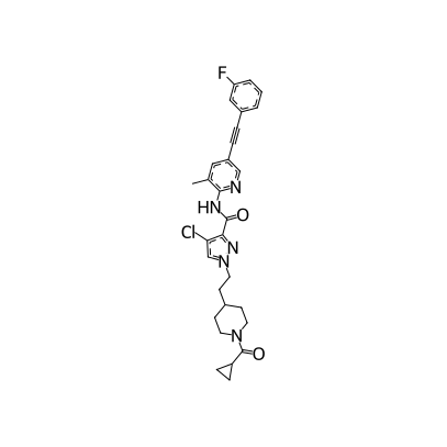 Cc1cc(C#Cc2cccc(F)c2)cnc1NC(=O)c1nn(CCC2CCN(C(=O)C3CC3)CC2)cc1Cl